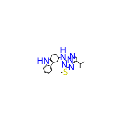 C=C(C)c1cnn2c(N[C@@H]3CCc4[nH]c5ccccc5c4C3)nc(SC)nc12